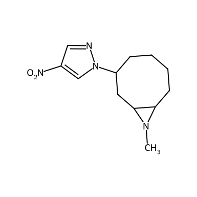 CN1C2CCCCC(n3cc([N+](=O)[O-])cn3)CC21